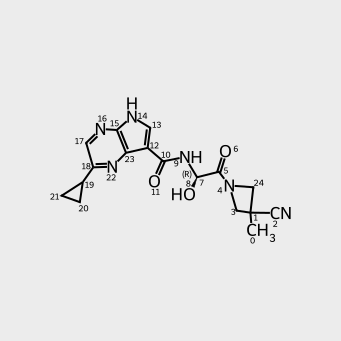 CC1(C#N)CN(C(=O)[C@@H](O)NC(=O)c2c[nH]c3ncc(C4CC4)nc23)C1